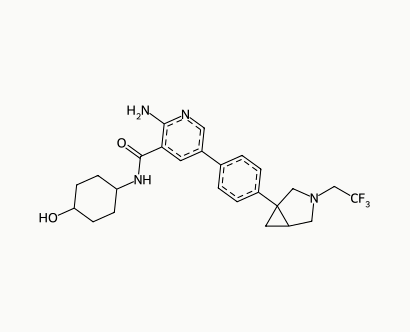 Nc1ncc(-c2ccc(C34CC3CN(CC(F)(F)F)C4)cc2)cc1C(=O)NC1CCC(O)CC1